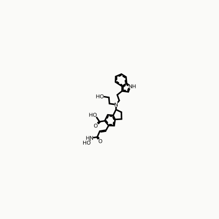 O=C(C=Cc1cc2c(cc1C(=O)O)C(N(CCO)CCc1c[nH]c3ccccc13)CC2)NO